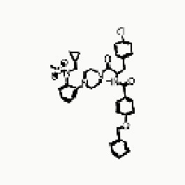 CS(=O)(=O)N(CC1CC1)c1ccccc1N1CCN(C(=O)C(Cc2ccc(Cl)cc2)NC(=O)c2ccc(OCc3ccccc3)cc2)CC1